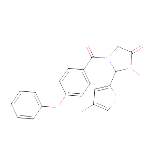 O=C1CN(C(=O)c2ccc(Oc3ccccc3)cc2)C(c2cc(Br)cs2)N1O